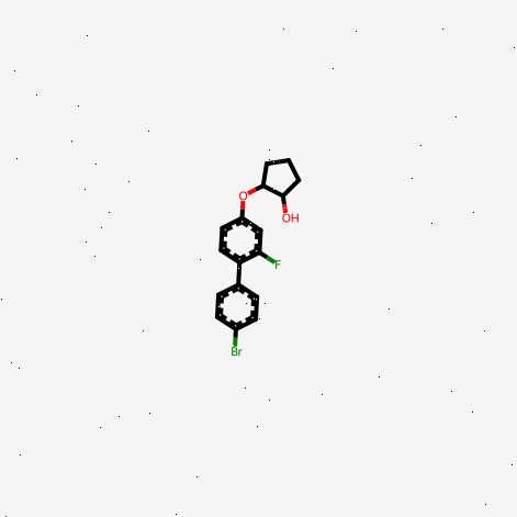 OC1CCCC1Oc1ccc(-c2ccc(Br)cc2)c(F)c1